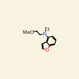 CCN(CCOC)c1cccc2occc12